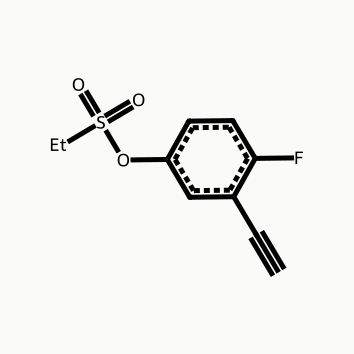 C#Cc1cc(OS(=O)(=O)CC)ccc1F